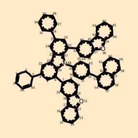 C1=CCC(c2cc(-c3ccc4oc5ccccc5c4c3)c3c(c2)c2cc(-c4ccccc4)cc(-c4ccc5oc6ccccc6c5c4)c2n3-c2ccc(-c3cccc4ccccc34)cc2)C=C1